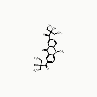 CCC(O)(CC)C(=O)c1ccc2c(c1)c(=O)c1cc(C(=O)C(O)(CC)CC)ccc1n2C